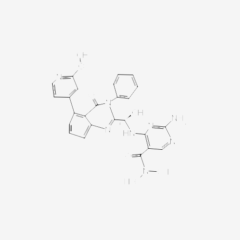 COc1cc(-c2cccc3nc([C@@H](C)Nc4nc(N)ncc4C(=O)N(C)C)n(-c4ccccc4)c(=O)c23)ccn1